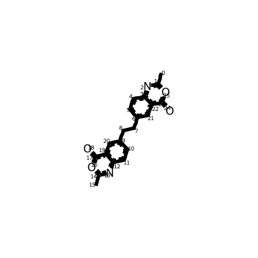 Cc1nc2ccc(CCc3ccc4nc(C)oc(=O)c4c3)cc2c(=O)o1